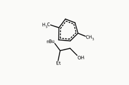 CCCCC(CC)CO.Cc1ccc(C)cc1